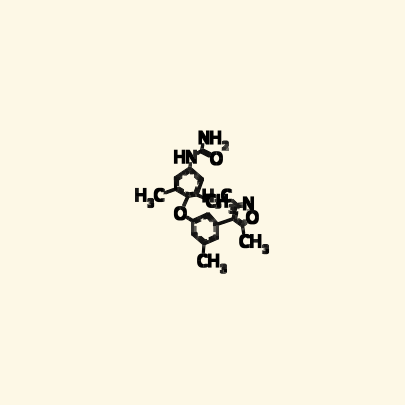 Cc1cc(Oc2c(C)cc(NC(N)=O)cc2C)cc(-c2c(C)noc2C)c1